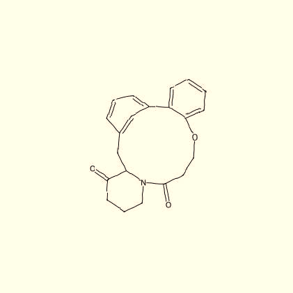 O=C1CCCN2C(=O)CCOc3ccccc3-c3cccc(c3)CC12